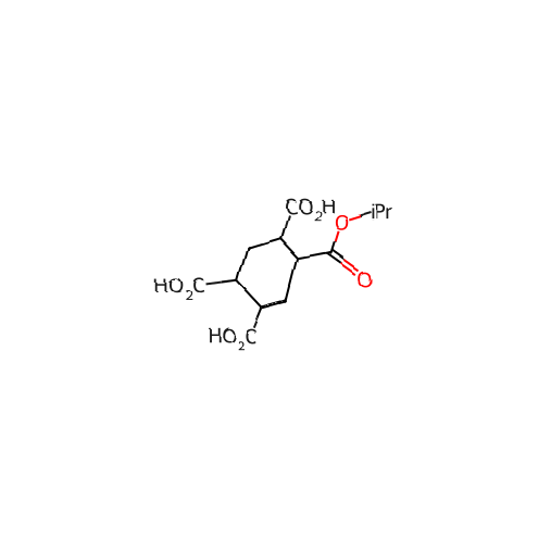 CC(C)OC(=O)C1CC(C(=O)O)C(C(=O)O)CC1C(=O)O